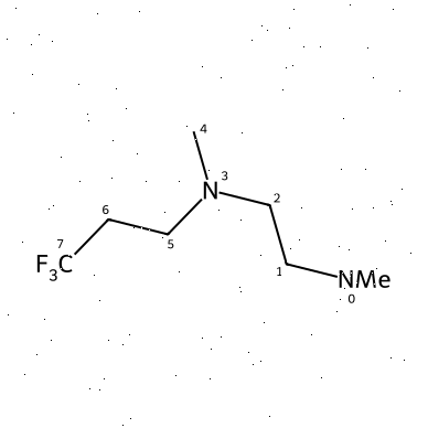 CNCCN(C)CCC(F)(F)F